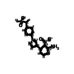 CC(c1ccc(-n2cc(-c3ccnc(N)c3[N+](=O)[O-])cn2)nc1)S(C)(=O)=O